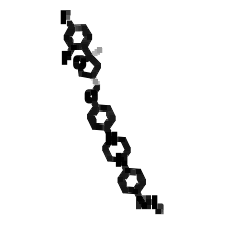 C[C@]1(c2ccc(F)cc2F)C[C@H](COc2ccc(N3CCN(c4ccc(N)cc4)CC3)cc2)CO1